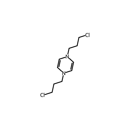 ClCCCN1C=CN(CCCCl)C=C1